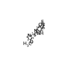 COc1ccnc(CSc2nc3cc(OC(F)F)c(F)cc3[nH]2)c1